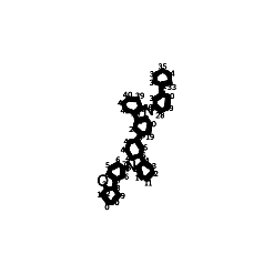 C1=CC2Oc3ccc(N4c5ccccc5C5C=C(c6ccc7c(c6)c6c(n7-c7cccc(C8=CCCCC8)c7)C=CCC6)CCC54)cc3C2C=C1